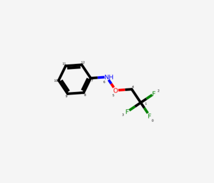 FC(F)(F)CONc1ccccc1